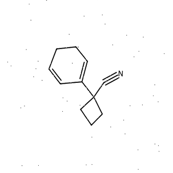 N#CC1(C2=C[CH]CC=C2)CCC1